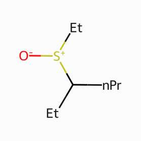 [CH2]CC(CCC)[S+]([O-])CC